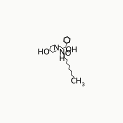 CCCCCCCCCC(=O)NC(CN1CCC(O)CC1)C(O)c1ccccc1